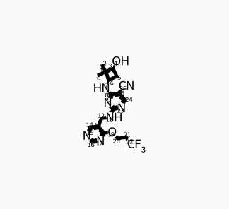 CC1(C)[C@@H](O)C[C@H]1Nc1nc(NCc2cncnc2OCCC(F)(F)F)ncc1C#N